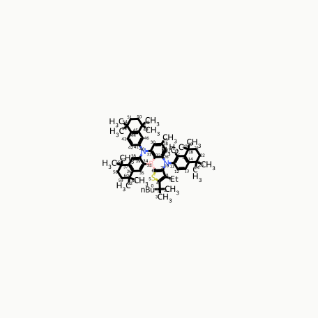 CCCCC(C)(C)c1sc2c(c1CC)N(c1ccc3c(c1C)C(C)(C)CCC3(C)C)c1cc(C)cc3c1B2c1cc2c(cc1N3c1ccc3c(c1)C(C)(C)CCC3(C)C)C(C)(C)CCC2(C)C